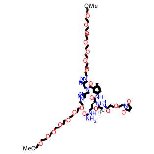 [CH2]c1ccc(NC(=O)[C@H](CCCNC(N)=O)NC(=O)[C@@H](NC(=O)CCOCCN2C(=O)C=CC2=O)C(C)C)cc1C(=O)N(Cc1cn(CCOCCOCCOCCOCCOCCOCCOCCOC)nn1)Cc1cn(CCOCCOCCOCCOCCOCCOCCOCCOC)nn1